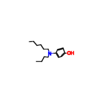 CCCCCCN(CCCC)c1ccc(O)cc1